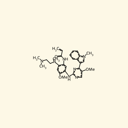 C=CC(=O)Nc1cc(Nc2ncc(OC)c(-c3cn(C)c4ccccc34)n2)c(OC)cc1N(C)CCN(C)C